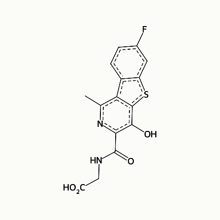 Cc1nc(C(=O)NCC(=O)O)c(O)c2sc3cc(F)ccc3c12